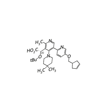 Cc1ncc(-c2ccc(OCC3CC=CC3)cn2)c(N2CCC(C)(C)CC2)c1[C@H](OC(C)(C)C)C(=O)O